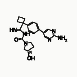 N=C(NC(=O)N1CC[C@@H](O)C1)C1(c2ccc(-c3cnc(N)nc3)cc2)CCC1